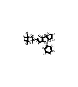 CC1(C)OB(c2cc3c(s2)c2sccc2n3-c2ccccc2)OC1(C)C